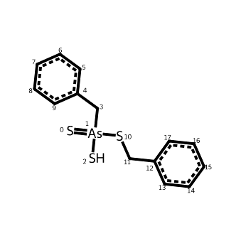 S=[As](S)(Cc1ccccc1)SCc1ccccc1